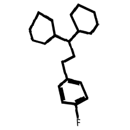 Fc1ccc(CCC(C2CCCCC2)C2CCCCC2)cc1